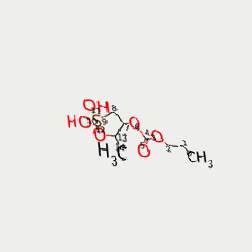 CCCOC(=O)OC1CS(O)(O)OC1C